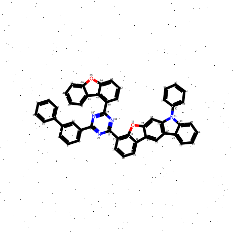 c1ccc(-c2cccc(-c3nc(-c4cccc5c4oc4cc6c(cc45)c4ccccc4n6-c4ccccc4)nc(-c4cccc5oc6ccccc6c45)n3)c2)cc1